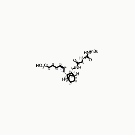 CCCCNC(=O)NCC(=O)NC[C@@H]1[C@@H]2CC[C@@H](C2)[C@@H]1C/C=C\CCCC(=O)O